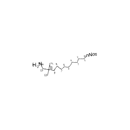 CCCCCCCCCCCCCCCCCCC(C)(C)CN